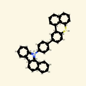 c1cc2c3c(cccc3c1)-c1cc(-c3ccc(-n4c5ccccc5c5ccc6ccccc6c54)cc3)ccc1S2